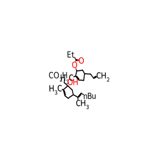 C=CCC1CC=C(C)C(OC(=O)CC)C1.CCCCC=C(C)C1CC=C(C)C(O)(CC(=O)O)C1